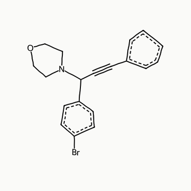 Brc1ccc(C(C#Cc2ccccc2)N2CCOCC2)cc1